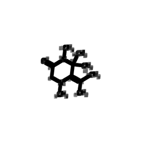 CC(C)=C1N(C)CC(=O)N(C)C1(C)C